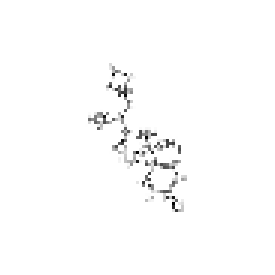 C[C@@H](CN1CCC1)C(=O)NC(C)(C)c1ccc(Cl)cc1